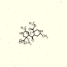 COC(=O)C1(C)CNC(C)CC1C(=O)C1CC(C)NCC1(C)C(=O)OC